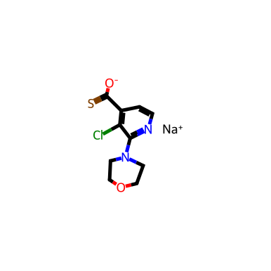 [Na+].[O-]C(=S)c1ccnc(N2CCOCC2)c1Cl